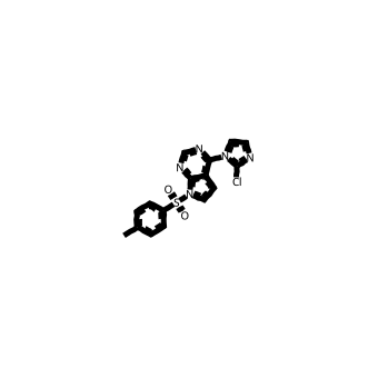 Cc1ccc(S(=O)(=O)n2ccc3c(-n4ccnc4Cl)ncnc32)cc1